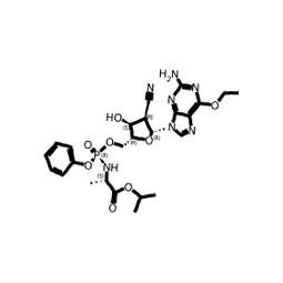 CCOc1nc(N)nc2c1ncn2[C@@H]1O[C@H](CO[P@](=O)(N[C@@H](C)C(=O)OC(C)C)Oc2ccccc2)[C@@H](O)[C@H]1C#N